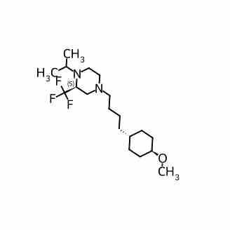 CO[C@H]1CC[C@H](CCCCN2CCN(C(C)C)[C@H](C(F)(F)F)C2)CC1